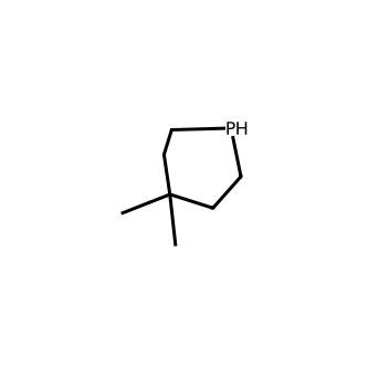 CC1(C)CCPCC1